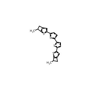 CC1Cc2cc(-c3ccc(-c4ccc(-c5cc6c(s5)C(C)C6)s4)s3)sc21